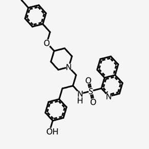 Cc1ccc(COC2CCN(CC(Cc3ccc(O)cc3)NS(=O)(=O)c3nccc4ccccc34)CC2)cc1